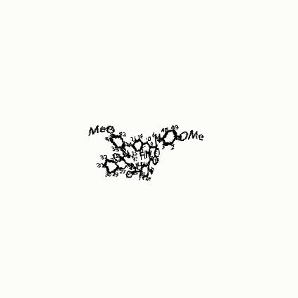 COc1ccc(N(C)C(=O)C(Cc2ccccc2)NC(=O)c2cc(C(=O)N[C@@H](Cc3ccccc3)C(=O)N(C)c3ccc(OC)cc3)ncn2)cc1